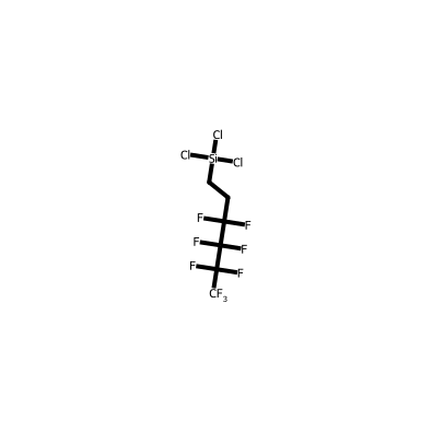 FC(F)(F)C(F)(F)C(F)(F)C(F)(F)CC[Si](Cl)(Cl)Cl